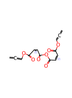 C=C=COC(=O)/C=C\C(=O)OC(=O)/C=C\C(=O)OC=C=C